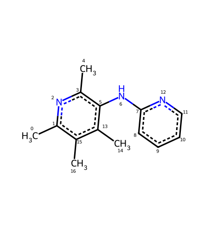 Cc1nc(C)c(Nc2ccccn2)c(C)c1C